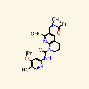 CCC(=O)N(C)Cc1cc2c(nc1C=O)N(C(=O)Nc1cc(OC(C)C)c(C#N)cn1)CCC2